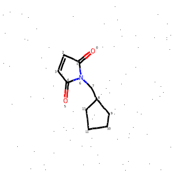 O=C1C=CC(=O)N1C[C]1CCCC1